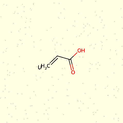 C=CC(=O)O.[Li]